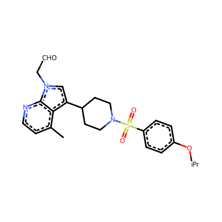 Cc1ccnc2c1c(C1CCN(S(=O)(=O)c3ccc(OC(C)C)cc3)CC1)cn2CC=O